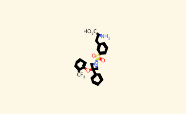 NC(Cc1cccc(S(=O)(=O)N2CC(Oc3ccccc3C(F)(F)F)(c3ccccc3)C2)c1)C(=O)O